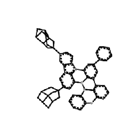 c1ccc(-c2cc3c4c(c2)-n2c5ccc(C67CC8CC9CC8(C6)C9C7)cc5c5cc(C67CC8CC9CC(C6)C98C7)cc(c52)B4N2c4ccccc4Oc4cccc-3c42)cc1